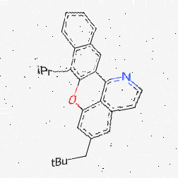 CC(C)c1c2c(cc3ccccc13)-c1nccc3cc(CC(C)(C)C)cc(c13)O2